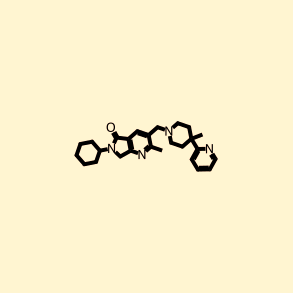 Cc1nc2c(cc1CN1CCC(C)(c3ccccn3)CC1)C(=O)N(C1CCCCC1)C2